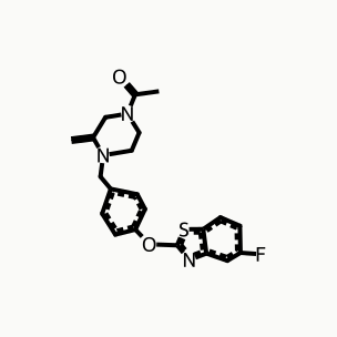 C=C1CN(C(C)=O)CCN1Cc1ccc(Oc2nc3cc(F)ccc3s2)cc1